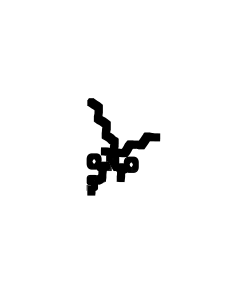 CCCCCCC(C)(CCCCC)N(C(C)=O)C(=O)CSC